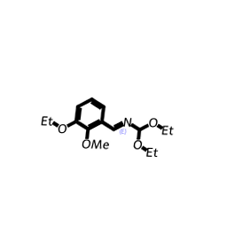 CCOc1cccc(/C=N/C(OCC)OCC)c1OC